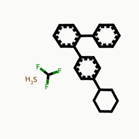 FC(F)F.S.c1ccc(-c2ccccc2-c2ccc(C3CCCCC3)cc2)cc1